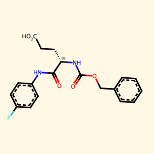 O=C(O)CC[C@H](NC(=O)OCc1ccccc1)C(=O)Nc1ccc(F)cc1